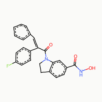 O=C(NO)c1ccc2c(c1)N(C(=O)C(=Cc1ccccc1)c1ccc(F)cc1)CC2